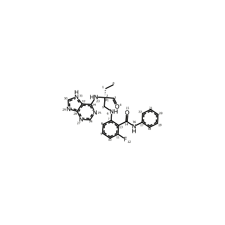 CC[C@](C=O)(CNc1cccc(F)c1C(=O)Nc1ccccc1)Nc1ncnc2nc[nH]c12